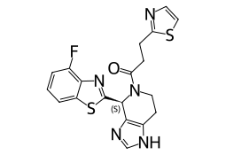 O=C(CCc1nccs1)N1CCc2[nH]cnc2[C@H]1c1nc2c(F)cccc2s1